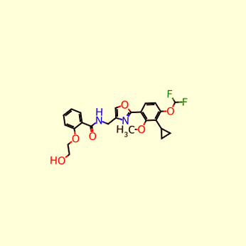 COc1c(-c2nc(CNC(=O)c3ccccc3OCCO)co2)ccc(OC(F)F)c1C1CC1